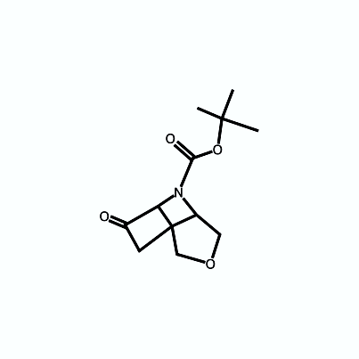 CC(C)(C)OC(=O)N1C2COCC23CC(=O)C13